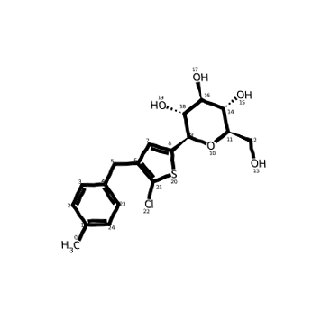 Cc1ccc(Cc2cc([C@@H]3O[C@H](CO)[C@@H](O)[C@H](O)[C@H]3O)sc2Cl)cc1